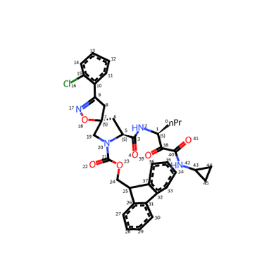 CCC[C@H](NC(=O)[C@@H]1C[C@]2(CC(c3ccccc3Cl)=NO2)CN1C(=O)OCC1c2ccccc2-c2ccccc21)C(=O)C(=O)NC1CC1